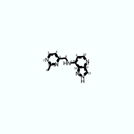 Cc1nccc(CNc2ccnc3c[nH]nc23)n1